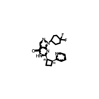 O=c1[nH]c([C@@H]2CC[C@@H]2c2ccccn2)nc2c1cnn2C1CCC(F)(F)CC1